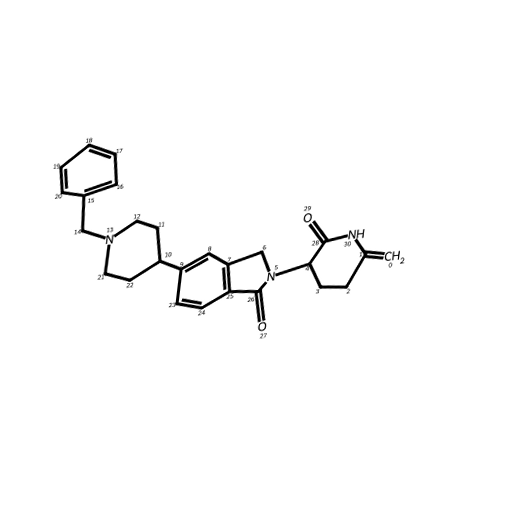 C=C1CCC(N2Cc3cc(C4CCN(Cc5ccccc5)CC4)ccc3C2=O)C(=O)N1